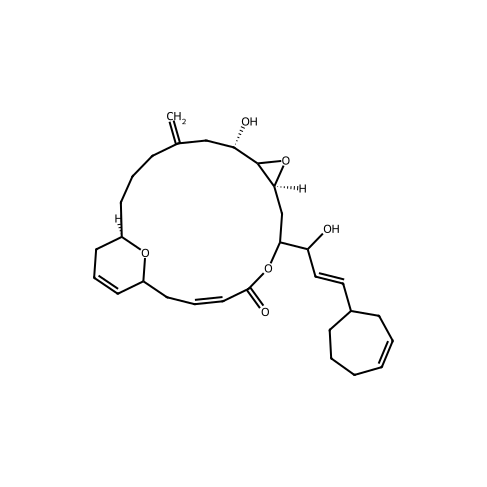 C=C1CCC[C@@H]2CC=CC(C/C=C\C(=O)OC(C(O)/C=C/C3CC=CCCC3)C[C@@H]3OC3[C@@H](O)C1)O2